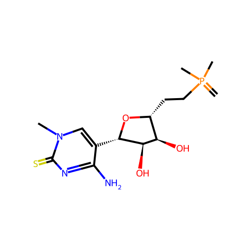 C=P(C)(C)CC[C@H]1O[C@@H](c2cn(C)c(=S)nc2N)[C@H](O)[C@@H]1O